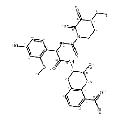 CCN1CCN(C(=O)NC(C(=O)N[C@H]2Cc3cccc(C(=O)O)c3OB2O)c2ccc(O)cc2OC)C(=O)C1=O